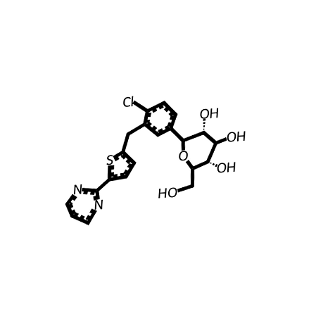 OCC1OC(c2ccc(Cl)c(Cc3ccc(-c4ncccn4)s3)c2)[C@H](O)C(O)[C@@H]1O